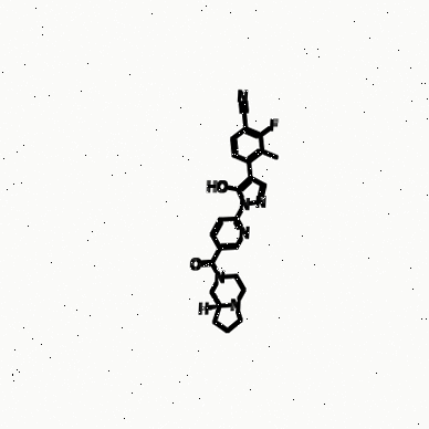 Cc1c(-c2cnn(-c3ccc(C(=O)N4CCN5CCC[C@@H]5C4)cn3)c2O)ccc(C#N)c1F